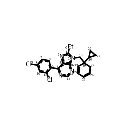 CCc1nc2c(-c3ccc(Cl)cc3Cl)ncnc2n1CC1(C2CC2)C=CC=CC1